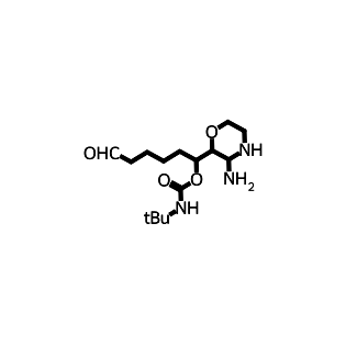 CC(C)(C)NC(=O)OC(CCCCC=O)C1OCCNC1N